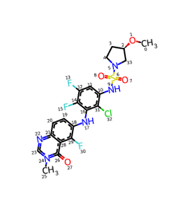 CO[C@@H]1CCN(S(=O)(=O)Nc2cc(F)c(F)c(Nc3ccc4ncn(C)c(=O)c4c3F)c2Cl)C1